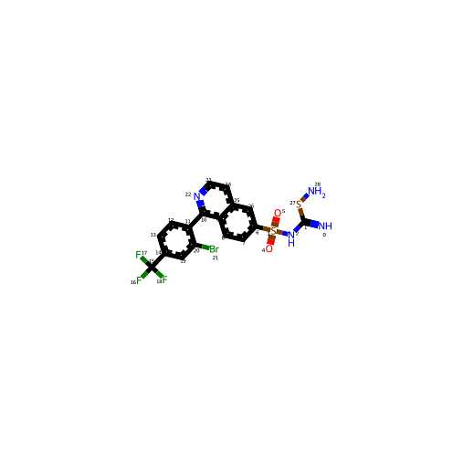 N=C(NS(=O)(=O)c1ccc2c(-c3ccc(C(F)(F)F)cc3Br)nccc2c1)SN